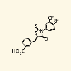 O=C(O)c1cccc(/C=C2\SC(=S)N(c3ccc(F)c(C(F)(F)F)c3)C2=O)c1